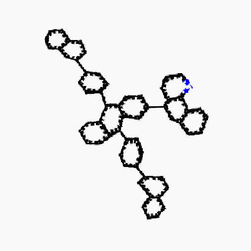 c1ccc2cc(-c3ccc(-c4c5ccccc5c(-c5ccc(-c6ccc7ccccc7c6)cc5)c5cc(-c6cc7ccccc7c7ncccc67)ccc45)cc3)ccc2c1